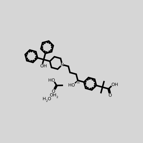 CC(=O)O.CC(C)(C(=O)O)c1ccc([C@@H](O)CCCN2CCC(C(O)(c3ccccc3)c3ccccc3)CC2)cc1.O.O